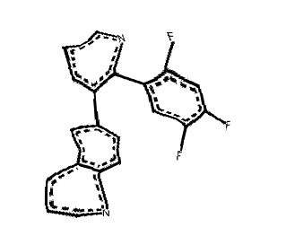 Fc1cc(F)c(-c2ncccc2-c2ccc3ncccc3c2)cc1F